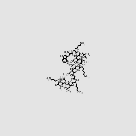 CC(C)C[C@H](NC(=O)[C@H](CC(C)C)NC(=O)[C@H](CCCCN)NC(=O)[C@H](CO)NC(=O)[C@H](CC(C)C)NC(=O)[C@H](CC(C)C)NC(=O)[C@H](CCCCN)NC(=O)[C@@H](N)Cc1c[nH]c2ccccc12)C(=O)NCC(=O)N[C@@H](CCCCN)C(=O)N[C@@H](CC(C)C)C(=O)N[C@@H](CC(C)C)C(=O)N[C@@H](CCCCN)C(N)=O